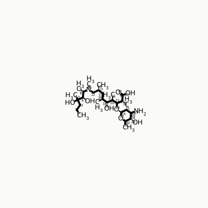 CCCC(C)(O)[C@H](O)[C@@H](C)N(C)C[C@H](C)C[C@H](C)[C@@H](O)[C@@H](C)C(O[C@H]1CC(N)[C@H](O)C(C)O1)[C@@H](C)C(=O)O